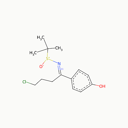 CC(C)(C)[S+]([O-])/N=C(\CCCCl)c1ccc(O)cc1